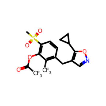 CS(=O)(=O)c1ccc(Cc2cnoc2C2CC2)c(C(F)(F)F)c1OC(=O)C(F)(F)F